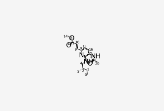 CC[C@H](C)CNc1nc(/C=C/C(=O)OC)ccc1NC(C)=O